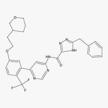 O=C(Nc1cc(-c2cc(OCCC3CCCOC3)ccc2C(F)(F)F)ncn1)c1nnc(Cc2ccccc2)[nH]1